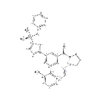 C/C=C/[C@H]1CCCN1C(=O)c1cc(-c2nnc([C@](C)(N)Cc3ccccc3)o2)cc(-c2ccccc2N)c1